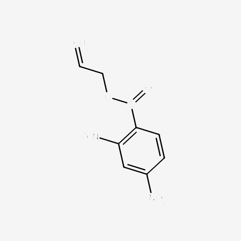 C=CCOS(=O)c1ccc([N+](=O)[O-])cc1[N+](=O)[O-]